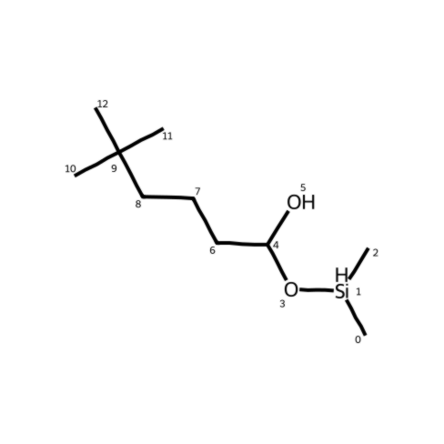 C[SiH](C)OC(O)CCCC(C)(C)C